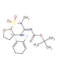 CN1/C(=N/C(=O)OC(C)(C)C)N[C@@]2(C3=CCCC=C3F)CCOC2S1(=O)=O